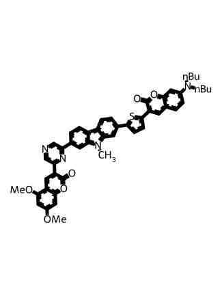 CCCCN(CCCC)c1ccc2cc(-c3ccc(-c4ccc5c6ccc(-c7cncc(-c8cc9c(OC)cc(OC)cc9oc8=O)n7)cc6n(C)c5c4)s3)c(=O)oc2c1